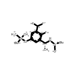 C[C@@H](N[S+]([O-])C(C)(C)C)c1cc(O[Si](C)(C)C(C)(C)C)cc(C(F)F)c1F